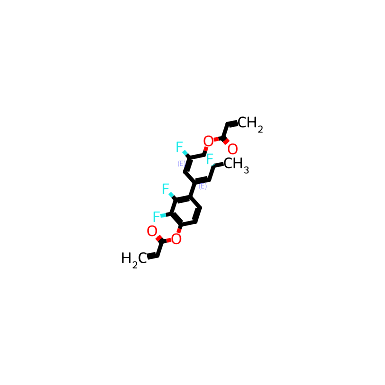 C=CC(=O)OC/C(F)=C\C(=C/C(C)F)c1ccc(OC(=O)C=C)c(F)c1F